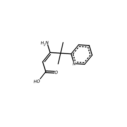 CC(C)(/C(N)=C\C(=O)O)c1ccccn1